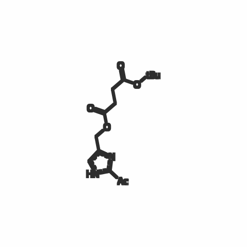 CC(=O)c1nc(COC(=O)CCC(=O)OC(C)(C)C)c[nH]1